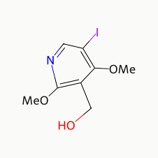 COc1ncc(I)c(OC)c1CO